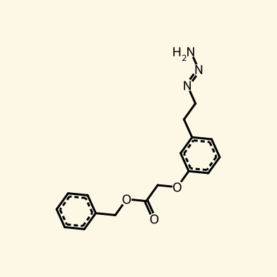 NN=NCCc1cccc(OCC(=O)OCc2ccccc2)c1